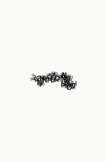 CC[C@H](C)CC(=O)N1CCC[C@H]1C1=NCC(c2ccc3c(c2)Oc2ccc(C4CN=C([C@@H]5CCCN5C(=O)[C@@H](NC(=O)OC)[C@@H](C)CC)N4)cc2C32CC2)N1